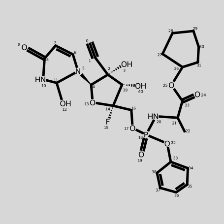 C#C[C@]1(O)[C@H](N2C=CC(=O)NC2O)O[C@](F)(COP(=O)(NC(C)C(=O)OC2CCCCC2)Oc2ccccc2)[C@H]1O